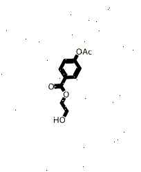 CC(=O)Oc1ccc(C(=O)OCCO)cc1